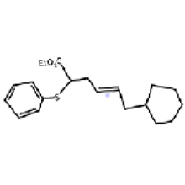 CCOC(=O)C(C/C=C/CC1CCCCC1)Sc1ccccc1